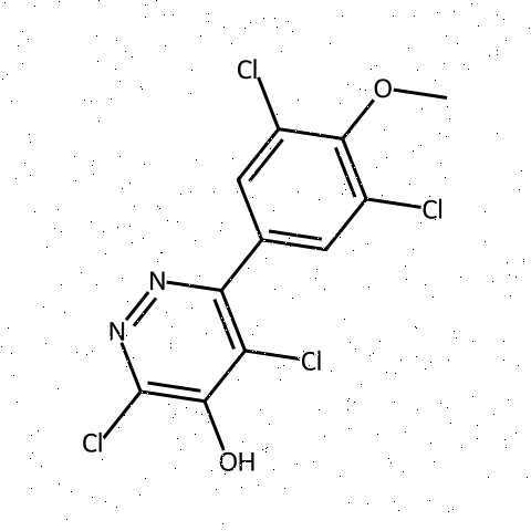 COc1c(Cl)cc(-c2nnc(Cl)c(O)c2Cl)cc1Cl